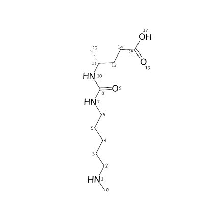 CNCCCCCNC(=O)N[C@H](C)CCC(=O)O